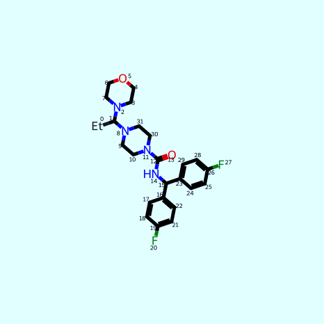 CCC(N1CCOCC1)N1CCN(C(=O)NC(c2ccc(F)cc2)c2ccc(F)cc2)CC1